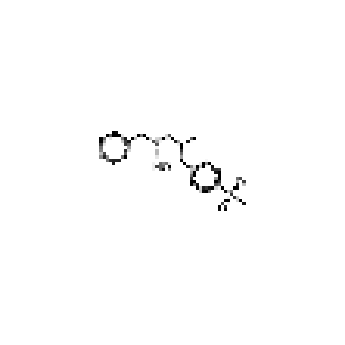 C[C@H](CNCc1ccccc1)[C@@H](O)c1ccc(S(C)(=O)=O)cc1